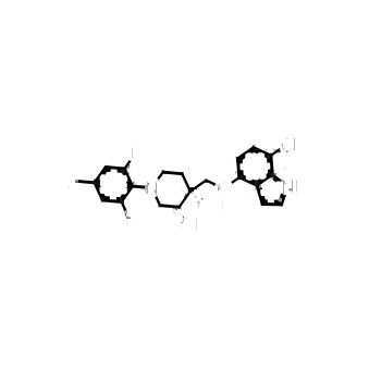 O[C@@H]1CN(c2c(F)cc(Cl)cc2F)CC[C@@]1(O)COc1ccc(Cl)c2[nH]ccc12